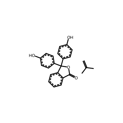 C=C(C)C.O=C1OC(c2ccc(O)cc2)(c2ccc(O)cc2)c2ccccc21